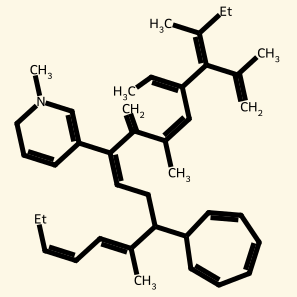 C=C(\C(C)=C/C(=C\C)C(/C(=C)C)=C(\C)CC)/C(=C\CC(/C(C)=C/C=C\CC)C1C=CC=CC=C1)C1=CN(C)CC=C1